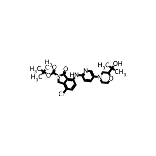 CC(C)(C)OC(=O)N1Cc2c(Cl)ccc(Nc3ccc(N4CCOC(C(C)(C)O)C4)cn3)c2C1=O